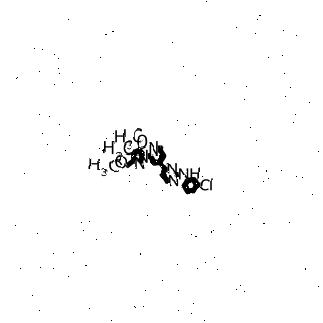 COCc1nn(-c2cc(-c3ccnc(Nc4cccc(Cl)c4)n3)ccn2)c(OC)c1C